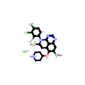 COc1cc2ncnc3c2c(c1OC1CCNCC1)C=C(C)N3c1ccc(Cl)c(Cl)c1F.Cl